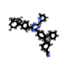 C[C@@H]1C[C@@H]2C[C@H](C)CC(c3ccc(-c4nc(-c5ccc(-c6ccc(C#N)cc6)c(-c6ccccc6)c5)nc(-c5ccccn5)n4)cc3)(C1)C2